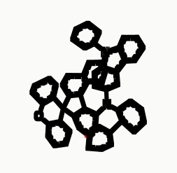 c1ccc(-c2ccccc2N(c2ccc3c(c2)c2ccccc2n3-c2ccccc2)c2cccc3c2-c2c(ccc4ccccc24)C32c3ccccc3Oc3ccccc32)cc1